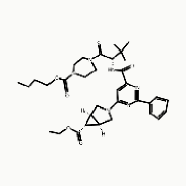 CCCCOC(=O)N1CCN(C(=O)[C@@H](NC(=O)c2cc(N3C[C@@H]4[C@H](C3)[C@H]4C(=O)OCC)nc(-c3ccccc3)n2)C(C)(C)C)CC1